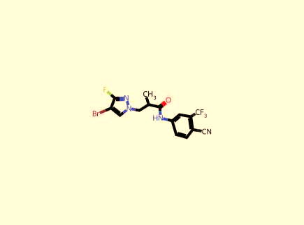 CC(Cn1cc(Br)c(F)n1)C(=O)Nc1ccc(C#N)c(C(F)(F)F)c1